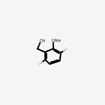 COc1c(F)ccc(F)c1CC#N